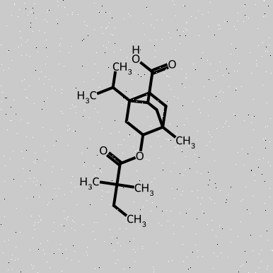 CCC(C)(C)C(=O)OC1CC2(C(C)C)CCC1(C)CC2C(=O)O